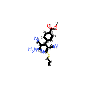 C=CCSc1nc(N)c(C#N)c(-c2ccc(C(=O)OC)cc2)c1C#N